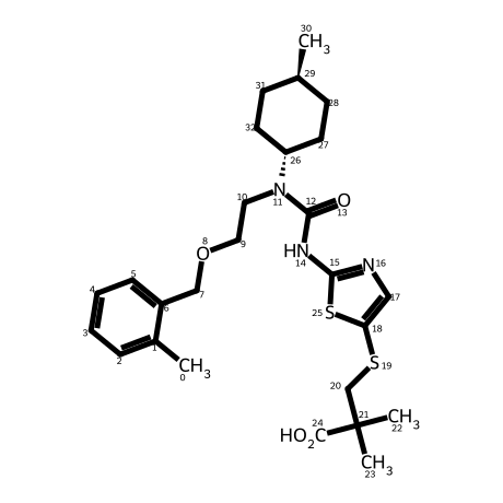 Cc1ccccc1COCCN(C(=O)Nc1ncc(SCC(C)(C)C(=O)O)s1)[C@H]1CC[C@H](C)CC1